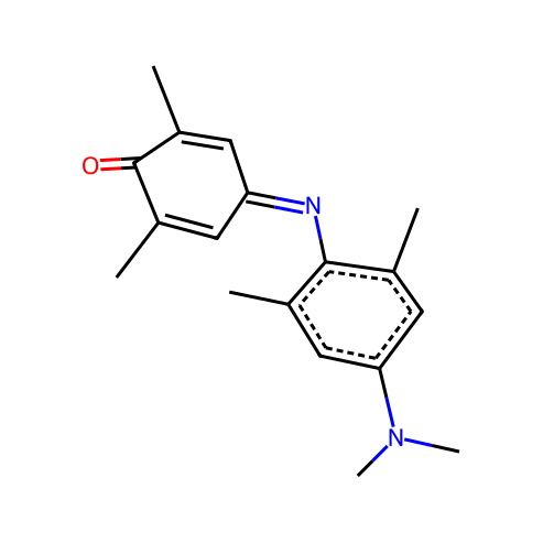 CC1=CC(=Nc2c(C)cc(N(C)C)cc2C)C=C(C)C1=O